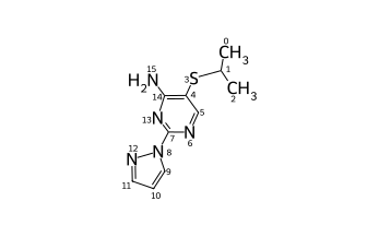 CC(C)Sc1cnc(-n2cccn2)nc1N